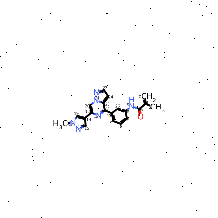 C=C(C)C(=O)Nc1cccc(-c2nc(-c3cnn(C)c3)cn3nccc23)c1